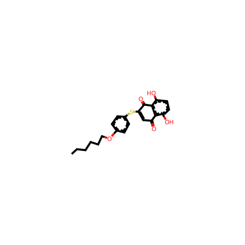 CCCCCCOc1ccc(SC2=CC(=O)c3c(O)ccc(O)c3C2=O)cc1